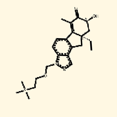 CC[C@]12Cc3c(ccc4c3cnn4COCC[Si](C)(C)C)C1=C(C)C(=O)[C@@H](O)C2